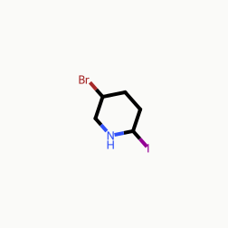 BrC1CCC(I)NC1